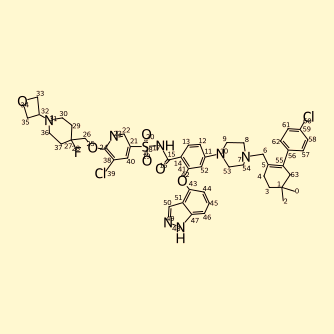 CC1(C)CCC(CN2CCN(c3ccc(C(=O)NS(=O)(=O)c4cnc(OCC5(F)CCN(C6COC6)CC5)c(Cl)c4)c(Oc4cccc5[nH]ncc45)c3)CC2)=C(c2ccc(Cl)cc2)C1